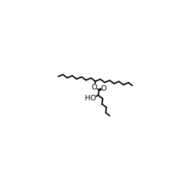 CCCCCCCCC(CCCCCCCC)OC(=O)C(O)CCCCC